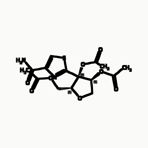 CC(=O)OC[C@H]1OC[C@H](OC(C)=O)[C@]1(OC(C)=O)c1nc(C(N)=O)cs1